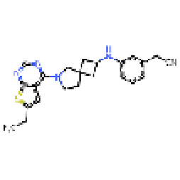 N#CCc1cccc(NC2CC3(CCN(c4ncnc5sc(CC(F)(F)F)cc45)C3)C2)c1